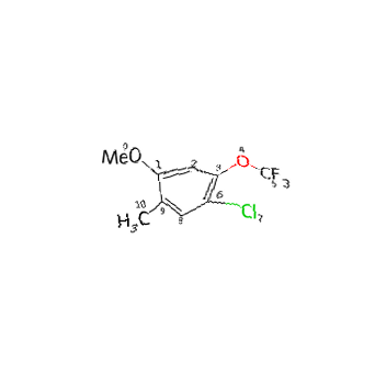 COc1cc(OC(F)(F)F)c(Cl)cc1C